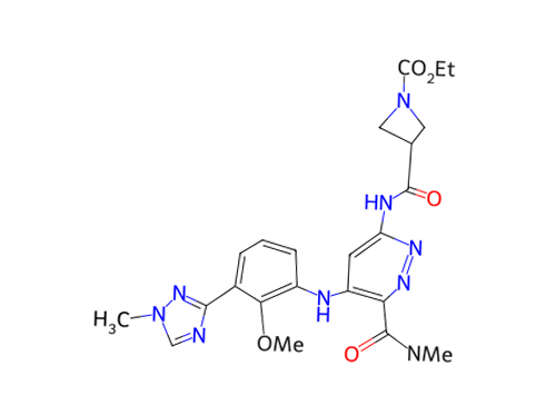 CCOC(=O)N1CC(C(=O)Nc2cc(Nc3cccc(-c4ncn(C)n4)c3OC)c(C(=O)NC)nn2)C1